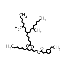 C=C(CCCCC)CCC(CCCCC(=O)OC(CCCCCCCC)CCOC(=O)CC1CCC(CC)C1)CCC(=C)CCCCC